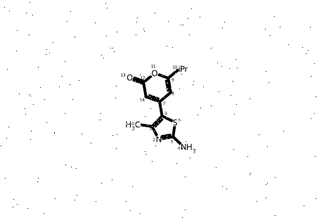 Cc1nc(N)sc1-c1cc(C(C)C)oc(=O)c1